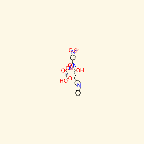 O=C(O)/C=C/C(=O)O.O=[N+]([O-])c1ccc(-c2nc(C(O)CCCC3CCN(Cc4ccccc4)CC3)no2)cc1